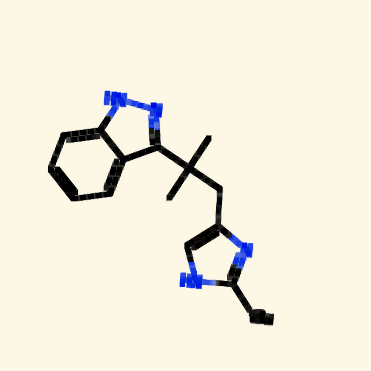 CC(C)(C)c1nc(CC(C)(C)c2n[nH]c3ccccc23)c[nH]1